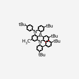 Cc1cc2c3c(c1)N(c1ccc(C(C)(C)C)cc1-c1ccc(C(C)(C)C)cc1)c1ccc(C(C)(C)C)cc1B3c1cc(C(C)(C)C)ccc1N2c1ccc(C(C)(C)C)cc1